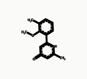 COc1c(C)cccc1-c1cc(=O)cc(C)[nH]1